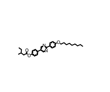 CCCCCCCCCOc1ccc(-c2ncc(-c3ccc(OC(=O)CC(C)CC)cc3)cn2)cc1